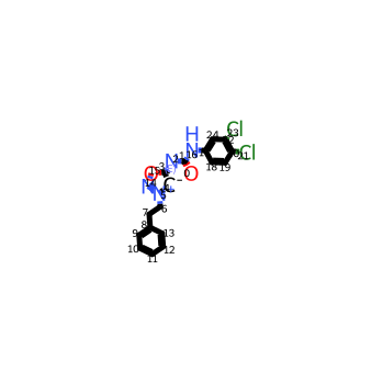 O=C(/N=c1\[cH-][n+](CCc2ccccc2)no1)Nc1ccc(Cl)c(Cl)c1